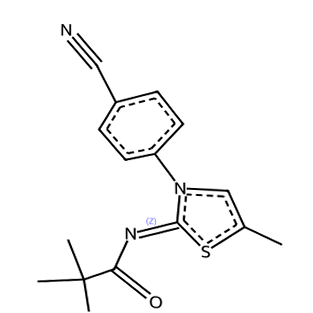 Cc1cn(-c2ccc(C#N)cc2)/c(=N/C(=O)C(C)(C)C)s1